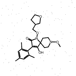 CON1CCC2(CC1)C(O)=C(c1c(C)cc(C)cc1C)C(=O)N2OCC1CCOC1